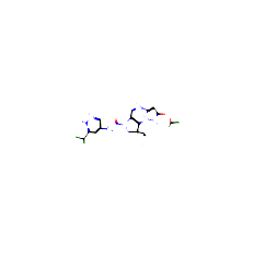 C=C[C@@]1(C(F)(F)F)CN(C(=O)Nc2cnnc(C(F)F)c2)c2cnc3cc(OC(F)F)nn3c21